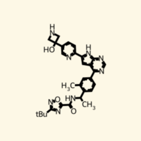 Cc1cc(-c2ncnc3[nH]c(-c4ccc(C5(O)CNC5)cn4)cc23)ccc1C(C)NC(=O)c1nc(C(C)(C)C)no1